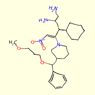 COCCCOC(c1ccccc1)C1CCCN(C(=C[N+](=O)[O-])C(C(N)CN)C2CCCCC2)C1